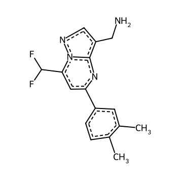 Cc1ccc(-c2cc(C(F)F)n3ncc(CN)c3n2)cc1C